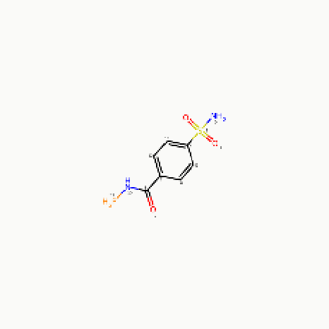 NS(=O)(=O)c1ccc(C(=O)NP)cc1